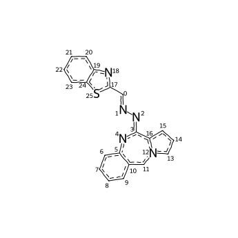 C(=NN=c1nc2ccccc2cn2cccc12)c1nc2ccccc2s1